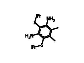 Cc1c(C)c(SC(C)C)c(N)c(SC(C)C)c1N